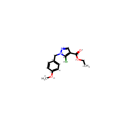 CCOC(=O)c1cnn(Cc2ccc(OC)cc2)c1Br